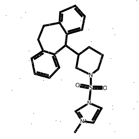 C[n+]1ccn(S(=O)(=O)N2CCCC(C3c4ccccc4CCc4ccccc43)C2)c1